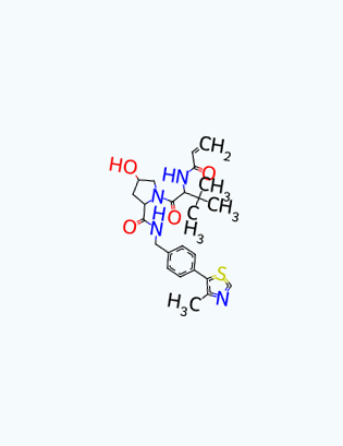 C=CC(=O)NC(C(=O)N1CC(O)CC1C(=O)NCc1ccc(-c2scnc2C)cc1)C(C)(C)C